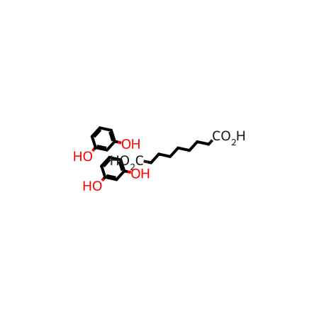 O=C(O)CCCCCCCC(=O)O.Oc1cccc(O)c1.Oc1cccc(O)c1